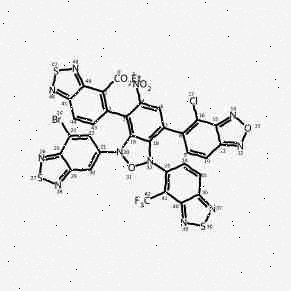 CCOC(=O)c1c(-c2c([N+](=O)[O-])[c]c(-c3ccc4nonc4c3Cl)c3c2N(c2cc(Br)c4nsnc4c2)ON3c2ccc3nsnc3c2C(F)(F)F)ccc2nsnc12